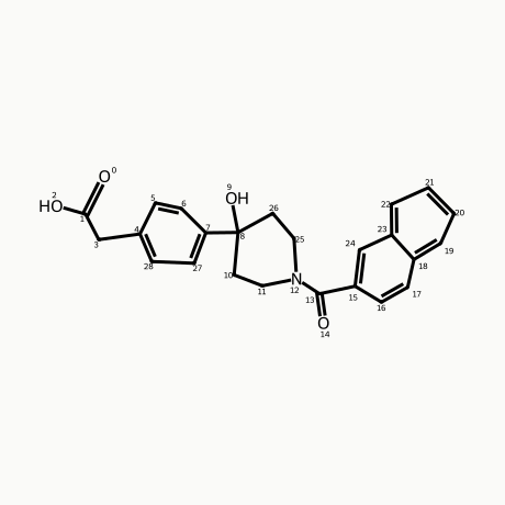 O=C(O)Cc1ccc(C2(O)CCN(C(=O)c3ccc4ccccc4c3)CC2)cc1